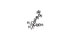 C/C=C(\C(=O)c1ccc(OCC2=CCC(c3cc(F)cc(C(F)(F)F)c3)=N2)cc1C)c1ccc(O)cc1